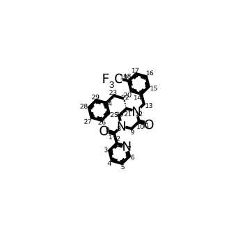 O=C(c1ccccn1)N1CC(=O)N(Cc2cccc(C(F)(F)F)c2)[C@@H](CCc2ccccc2)C1